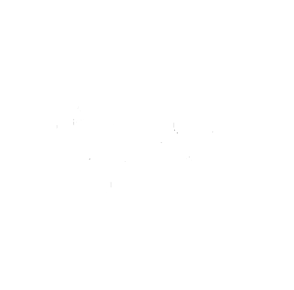 CC(C)(C)OC(=O)NCCc1cc(Cl)cc(B(O)O)c1